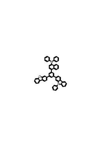 c1ccc(N(c2ccccc2)c2ccc(-c3cc(-c4ccc5c(c4)oc4ccccc45)cc(-c4ccc5c6ccccc6n(-c6ccccc6)c5c4)c3)c3ccccc23)cc1